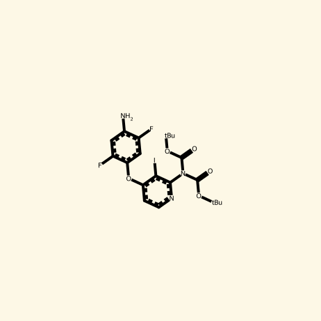 CC(C)(C)OC(=O)N(C(=O)OC(C)(C)C)c1nccc(Oc2cc(F)c(N)cc2F)c1I